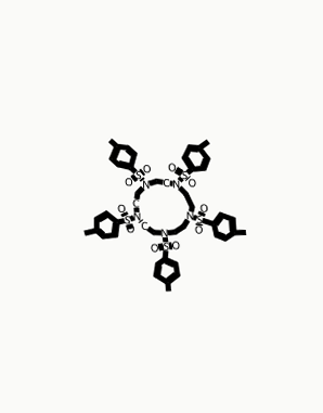 Cc1ccc(S(=O)(=O)N2CCN(S(=O)(=O)c3ccc(C)cc3)CCN(S(=O)(=O)c3ccc(C)cc3)CCN(S(=O)(=O)c3ccc(C)cc3)CCN(S(=O)(=O)c3ccc(C)cc3)CC2)cc1